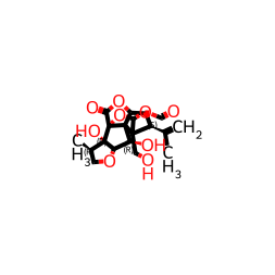 C=C(C)[C@@H]1CC2OC(=O)C34OC(OC=O)C1(CO)C23[C@@H](O)C1OC[C@@H](C)[C@@]14O